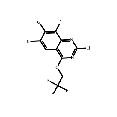 Fc1c(Br)c(Cl)cc2c(OCC(F)(F)F)nc(Cl)nc12